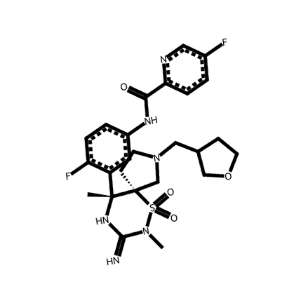 CN1C(=N)N[C@](C)(c2cc(NC(=O)c3ccc(F)cn3)ccc2F)[C@]2(CCN(CC3CCOC3)C2)S1(=O)=O